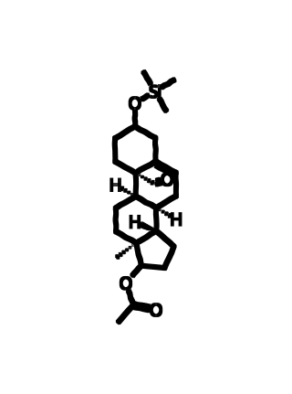 CC(=O)OC1CC[C@H]2[C@@H]3CC=C4CC(O[Si](C)(C)C)CC[C@]4(C=O)[C@@H]3CC[C@]12C